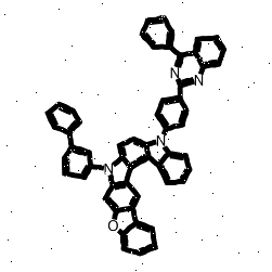 c1ccc(-c2cccc(-n3c4cc5oc6ccccc6c5cc4c4c5c6ccccc6n(-c6ccc(-c7nc(-c8ccccc8)c8ccccc8n7)cc6)c5ccc43)c2)cc1